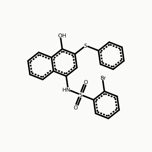 O=S(=O)(Nc1cc(Sc2ccccc2)c(O)c2ccccc12)c1ccccc1Br